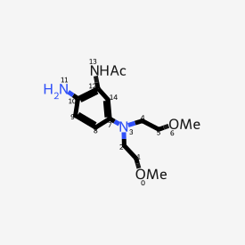 COCCN(CCOC)c1ccc(N)c(NC(C)=O)c1